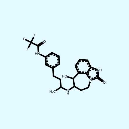 CC(CCc1cccc(NC(=O)C(F)(F)F)c1)NC1CCn2c(=O)[nH]c3cccc(c32)C1O